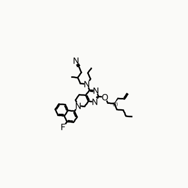 C=CC[C@@H](CCCC)COc1nc2c(c(N(CCC)CC(C)CC#N)n1)CCN(c1ccc(F)c3ccccc13)C2